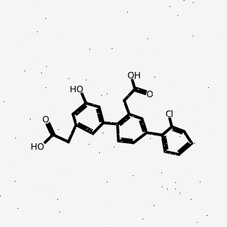 O=C(O)Cc1cc(O)cc(-c2ccc(-c3cc[c]cc3Cl)cc2CC(=O)O)c1